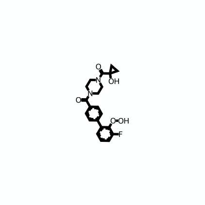 O=C(c1ccc(-c2cccc(F)c2OO)cc1)N1CCN(C(=O)C2(O)CC2)CC1